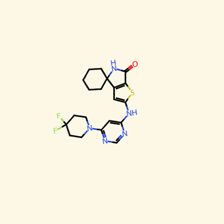 O=C1NC2(CCCCC2)c2cc(Nc3cc(N4CCC(F)(F)CC4)ncn3)sc21